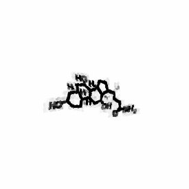 C[C@H](CCC(N)=O)C1CC[C@H]2[C@@H]3[C@H](O)C[C@@H]4C[C@H](O)CC[C@]4(C)[C@H]3C[C@H](O)[C@]12C